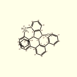 Cc1ccccc1N1B(c2c(-c3ccccc3)cccc2-c2ccccc2)N(C)c2ccc[n+](C)c21